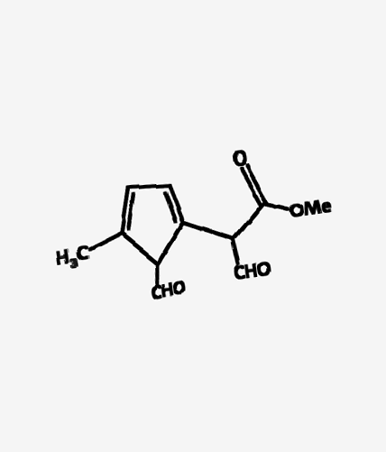 COC(=O)C(C=O)C1=CC=C(C)C1C=O